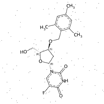 Cc1cc(C)c(CO[C@H]2C[C@H](n3cc(F)c(=O)[nH]c3=O)O[C@@H]2CO)c(C)c1